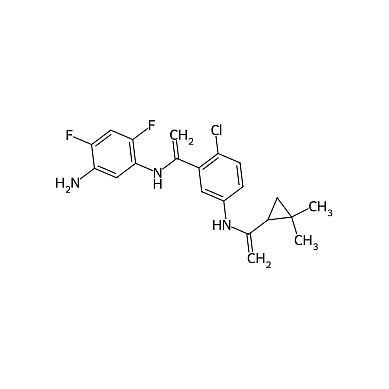 C=C(Nc1cc(N)c(F)cc1F)c1cc(NC(=C)C2CC2(C)C)ccc1Cl